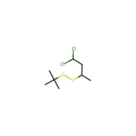 CC(CC(Cl)Cl)SSC(C)(C)C